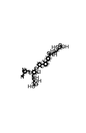 Cc1c(COc2cc(OCc3cncc(C#N)c3)c(CNC[C@@H](O)CC(=O)O)cc2Cl)cccc1-c1cccc(-c2ccc(C(=O)NCCNC[C@@H](O)CC(=O)O)cc2)c1C